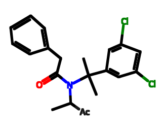 CC(=O)C(C)N(C(=O)Cc1ccccc1)C(C)(C)c1cc(Cl)cc(Cl)c1